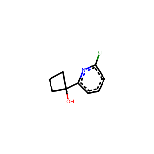 OC1(c2cccc(Cl)n2)CCC1